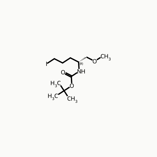 COC[C@@H](CCCI)NC(=O)OC(C)(C)C